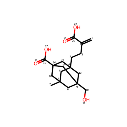 C=C(CCC12CC3(C)CC(CO)(C1)CC(C(=O)O)(C3)C2)C(=O)O